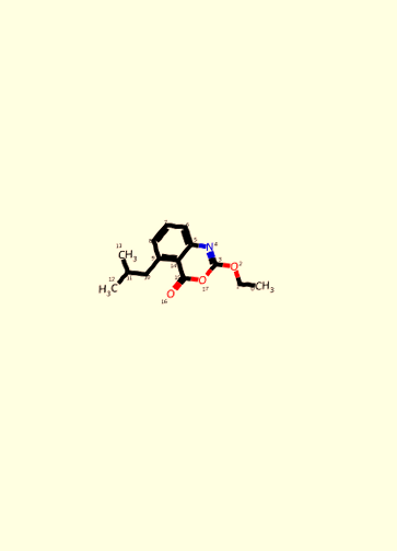 CCOc1nc2cccc(CC(C)C)c2c(=O)o1